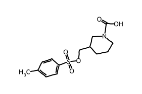 Cc1ccc(S(=O)(=O)OCC2CCCN(C(=O)O)C2)cc1